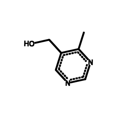 Cc1ncncc1CO